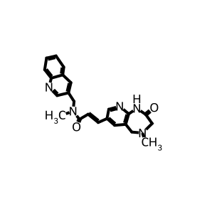 CN1CC(=O)Nc2ncc(/C=C/C(=O)N(C)Cc3cnc4ccccc4c3)cc2C1